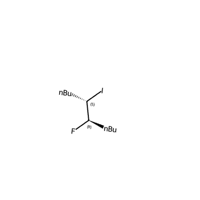 CCCC[C@@H](F)[C@@H](I)CCCC